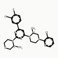 C[C@H]1CN(c2ncccc2Cl)CCN1c1cc(-c2ccc(F)c(Cl)c2)nc(N2CCOC[C@@H]2C)n1